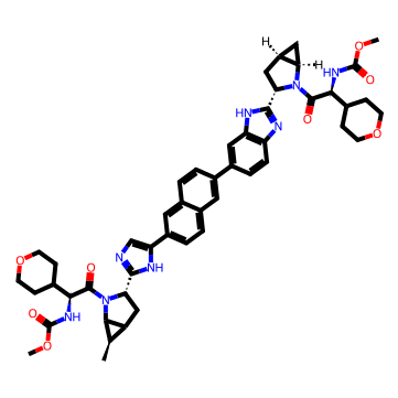 COC(=O)N[C@H](C(=O)N1C2C(C[C@H]1c1ncc(-c3ccc4cc(-c5ccc6nc([C@@H]7C[C@H]8C[C@H]8N7C(=O)[C@@H](NC(=O)OC)C7CCOCC7)[nH]c6c5)ccc4c3)[nH]1)[C@H]2C)C1CCOCC1